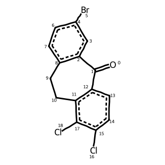 O=C1c2cc(Br)ccc2CCc2c1ccc(Cl)c2Cl